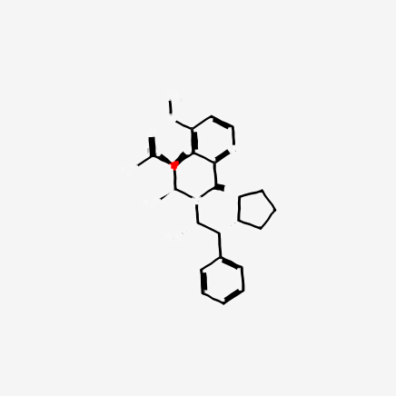 COc1ccnc(C(=S)N([C@@H](C)C(=O)O)[C@@H](C)[C@@H](c2ccccc2)C2CCCC2)c1OC(C)=O